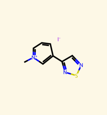 C[n+]1cccc(-c2cnsn2)c1.[I-]